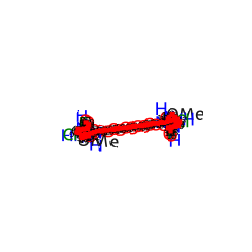 COc1cc(Nc2cc(NCc3cccc(S(=O)(=O)F)c3)ccc2Cl)cc2cc(OCC(=O)NCCOCCOCCOCCOCCOCCOCCOCCOCCOCCOCCNC(=O)COc3cc4cc(Nc5cc(NCc6cccc(S(=O)(=O)F)c6)ccc5Cl)cc(OC)c4n(C)c3=O)c(=O)n(C)c12